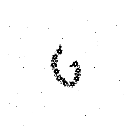 C#Cc1cccc(Oc2ccc(S(=O)(=O)c3ccc(Oc4ccc(Oc5ccc(S(=O)(=O)c6ccc(Oc7cccc(Oc8ccc(S(=O)(=O)c9ccc(Oc%10cccc(C#C)c%10)cc9)cc8)c7)cc6)cc5)cc4)cc3)cc2)c1